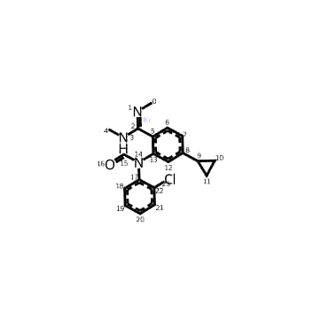 C/N=C(/NC)c1ccc(C2CC2)cc1N(C=O)c1ccccc1Cl